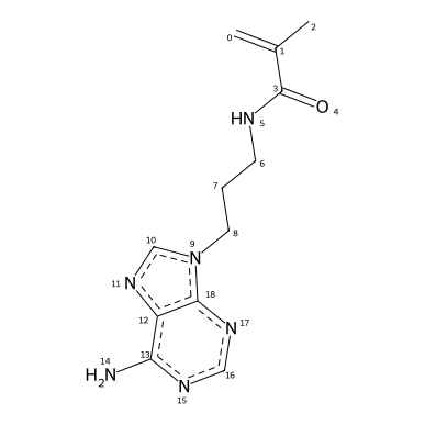 C=C(C)C(=O)NCCCn1cnc2c(N)ncnc21